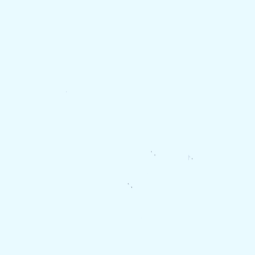 CC1(C)c2ccccc2-c2cc3c(ccn3C3NC=CC=C3c3ccccn3)cc2C2C=CC=CC21